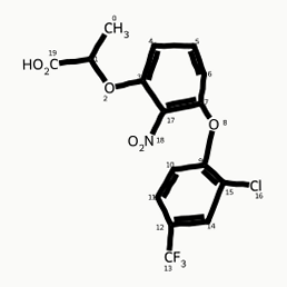 CC(Oc1cccc(Oc2ccc(C(F)(F)F)cc2Cl)c1[N+](=O)[O-])C(=O)O